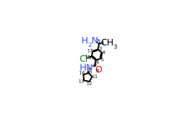 CC(N)c1ccc(C(=O)NC2CCCC2)c(Cl)c1